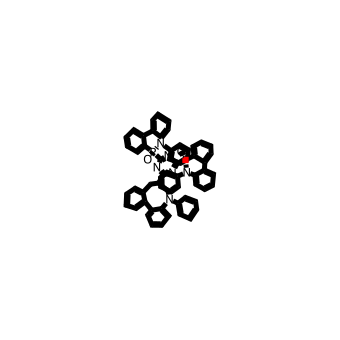 O=P1(c2nc(C3Cc4ccccc4-c4ccccc4N(c4ccccc4)C3)nc(P3(=O)c4ccccc4-c4ccccc4N3c3ccccc3)n2)c2ccccc2-c2ccccc2N1c1ccccc1